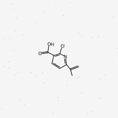 C=C(C)c1ccc(C(=O)O)c(Cl)n1